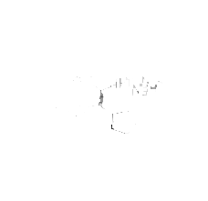 CC(C)/C(C(=O)O)=C(/C(=O)O)C1CCCC1.[NaH].[NaH]